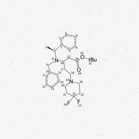 C[C@@H](c1ccccc1)N(Cc1ccccc1)C(CCN1CCC(F)(F)CC1)CC(=O)OC(C)(C)C